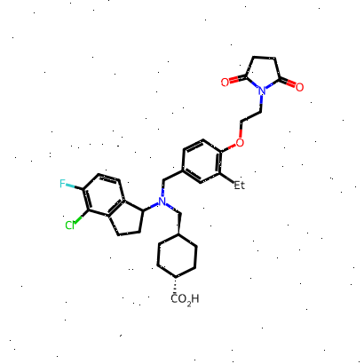 CCc1cc(CN(C[C@H]2CC[C@H](C(=O)O)CC2)C2CCc3c2ccc(F)c3Cl)ccc1OCCN1C(=O)CCC1=O